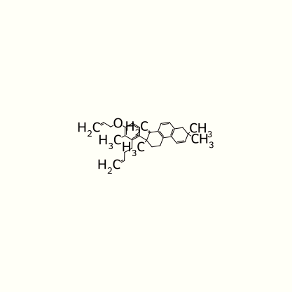 C=CCCc1c(C2(C)CCc3c(ccc4c3C=CC(C)(C)C4)C2=C)ccc(OCC=C)c1C